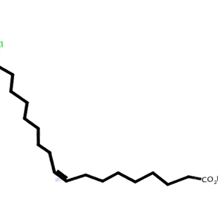 O=C(O)CCCCCCC/C=C\CCCCCCCCCl